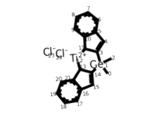 [CH3][Ge]1([CH3])[C]2=Cc3ccccc3[CH]2[Ti+2][CH]2[C]1=Cc1ccccc12.[Cl-].[Cl-]